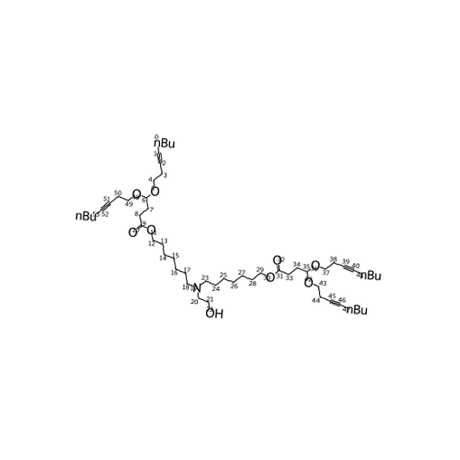 CCCCC#CCCOC(CCC(=O)OCCCCCCCN(CCO)CCCCCCCOC(=O)CCC(OCCC#CCCCC)OCCC#CCCCC)OCCC#CCCCC